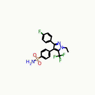 CCn1nc(-c2ccc(F)cc2)c(-c2ccc(S(N)(=O)=O)cc2)c1C(F)(F)F